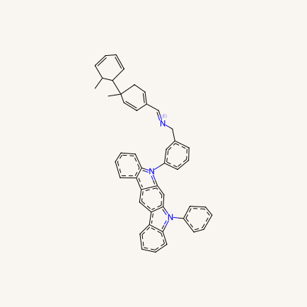 CC1C=CC=CC1C1(C)C=CC(/C=N/Cc2cccc(-n3c4ccccc4c4cc5c6ccccc6n(-c6ccccc6)c5cc43)c2)=CC1